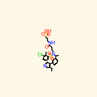 CCc1cnccc1-c1cccc(C(C)N(CCCC(=O)NCCCS(=O)(=O)O)S(=O)(=O)c2cccc(Cl)c2C)c1